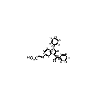 O=C(O)C=Cc1ccc2c(c1)c(C(=O)c1ccccc1)cn2-c1ccccc1